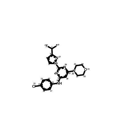 FC(F)c1ccn(-c2nc(Nc3ccc(Cl)cc3)cc(N3CCOCC3)n2)n1